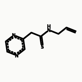 C=CCNC(=S)Cc1cnccn1